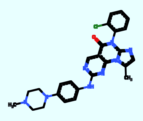 Cc1cnc2n(-c3ccccc3Cl)c(=O)c3cnc(Nc4ccc(N5CCN(C)CC5)cc4)nc3n12